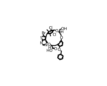 Cc1c(Cl)c2c(Cl)c(C)c1-c1c(Br)sc3ncnc(c13)O[C@@H](C(=O)O)Cc1cc(ccc1OCc1ccccc1)OC[C@@H](CO)O2